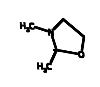 C[C]1OCCN1C